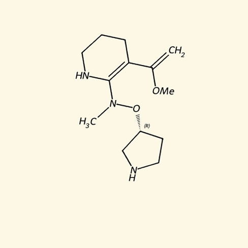 C=C(OC)C1=C(N(C)O[C@@H]2CCNC2)NCCC1